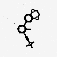 Cc1c(C#C[Si](C)(C)C)cccc1-c1ccc2c(c1)OCCO2